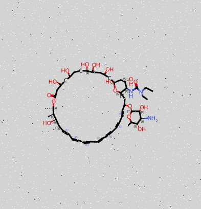 CCN(CC)C(=O)N[C@H]1[C@@H]2CC(O[C@@H]3OC(C)[C@@H](O)[C@H](N)[C@@H]3O)/C=C/C=C/C=C/C=C/C=C/C=C/C=C/[C@H](C)[C@@H](O)[C@@H](C)[C@H](C)OC(=O)CC(O)CC(O)CC[C@@H](O)C(O)CC(O)CC(O)(C[C@@H]1O)O2